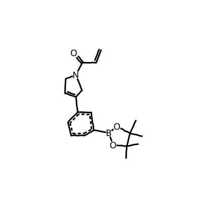 C=CC(=O)N1CC=C(c2cccc(B3OC(C)(C)C(C)(C)O3)c2)C1